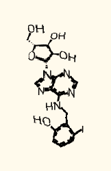 OC[C@H]1O[C@@H](n2cnc3c(NCc4c(O)cccc4I)ncnc32)[C@H](O)[C@@H]1O